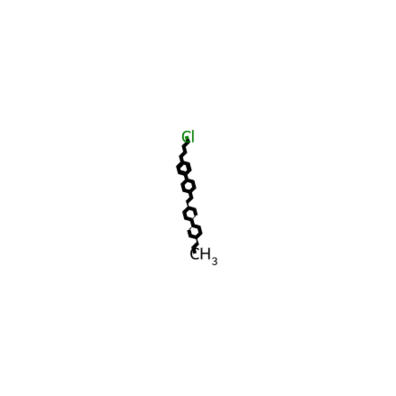 CCC[C@H]1CC[C@H]([C@H]2CC[C@H](CCC3CCC(c4ccc(CCCCCl)cc4)CC3)CC2)CC1